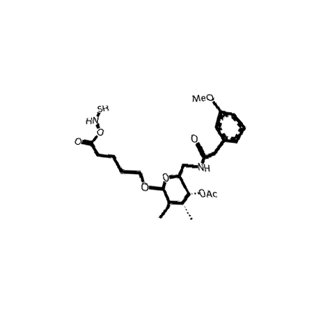 COc1cccc(CC(=O)NCC2OC(OCCCCC(=O)ONS)C(C)[C@@H](C)[C@H]2OC(C)=O)c1